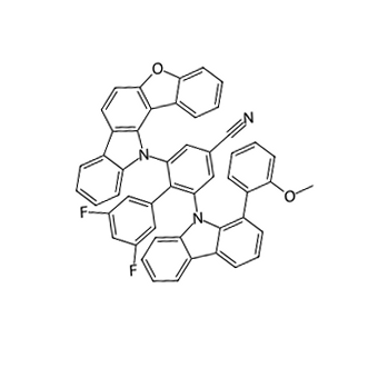 COc1ccccc1-c1cccc2c3ccccc3n(-c3cc(C#N)cc(-n4c5ccccc5c5ccc6oc7ccccc7c6c54)c3-c3cc(F)cc(F)c3)c12